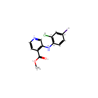 COC(=O)c1ccncc1Nc1ccc(I)cc1Cl